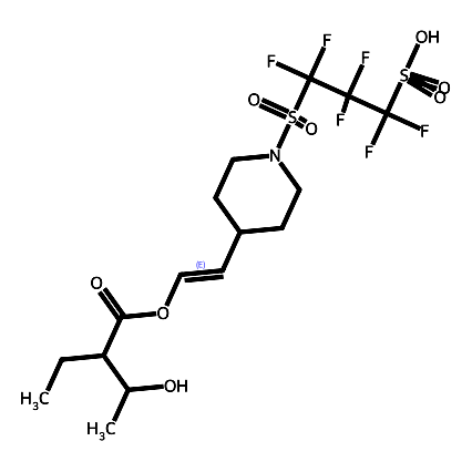 CCC(C(=O)O/C=C/C1CCN(S(=O)(=O)C(F)(F)C(F)(F)C(F)(F)S(=O)(=O)O)CC1)C(C)O